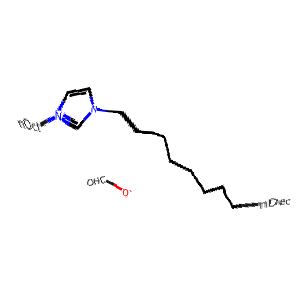 CCCCCCCCCCCCCCCCCCn1cc[n+](CCCCCCCC)c1.O=C[O-]